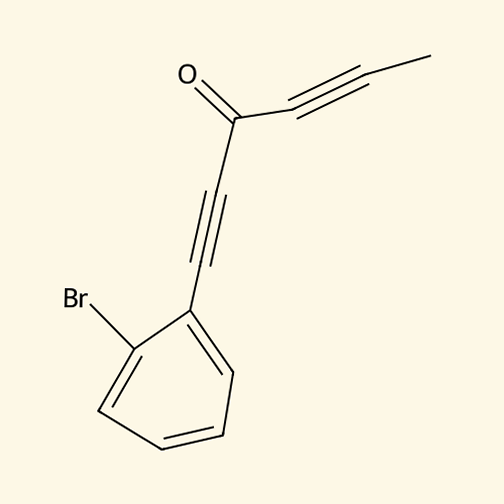 CC#CC(=O)C#Cc1ccccc1Br